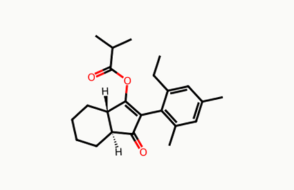 CCc1cc(C)cc(C)c1C1=C(OC(=O)C(C)C)[C@H]2CCCC[C@@H]2C1=O